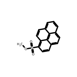 COS(=O)(=O)c1ccc2ccc3cccc4ccc1c2c34